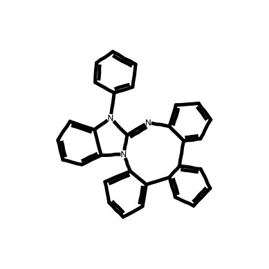 c1ccc(-n2c3ccccc3n3c4ccccc4c4ccccc4c4ccccc4nc23)cc1